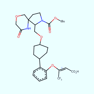 CC(C)(C)OC(=O)N1CCC2(COCC(=O)N2)C1COC1CCC(c2ccccc2O/C(=C/C(=O)O)C(F)(F)F)CC1